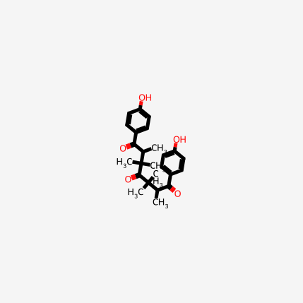 CC(C(=O)c1ccc(O)cc1)C(C)(C)C(=O)C(C)(C)C(C)C(=O)c1ccc(O)cc1